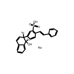 [2H]C1(O)c2ccccc2C=CC1([2H])c1ccc(C=Cc2ccccc2)c(S(=O)(=O)O)c1.[Na]